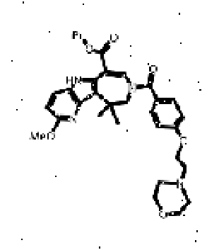 COc1ccc2[nH]c3c(c2n1)C(C)(C)CN(C(=O)c1ccc(OCCN2CCOCC2)cc1)C=C3C(=O)OC(C)C